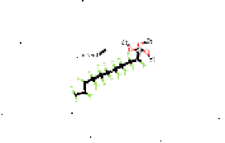 CCCCCC.CCO[Si](OCC)(OCC)C(F)C(F)(F)C(F)(F)C(F)(F)C(F)(F)C(F)(F)C(F)(F)C(F)C(F)C(F)F